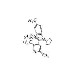 Cc1ccc(C)c(-c2n(C3CCCC3)c3ccc(C)cc3[n+]2C)c1